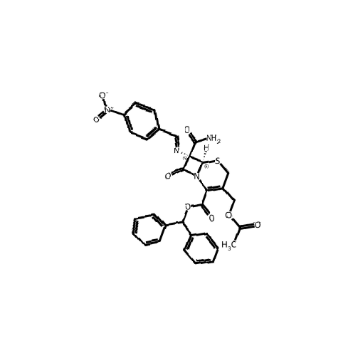 CC(=O)OCC1=C(C(=O)OC(c2ccccc2)c2ccccc2)N2C(=O)[C@@](N=Cc3ccc([N+](=O)[O-])cc3)(C(N)=O)[C@H]2SC1